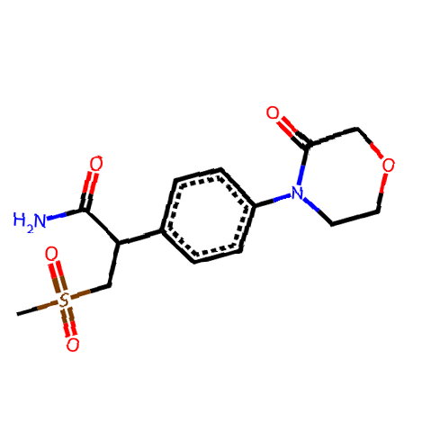 CS(=O)(=O)CC(C(N)=O)c1ccc(N2CCOCC2=O)cc1